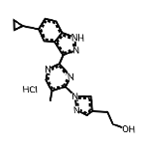 Cc1cnc(-c2n[nH]c3ccc(C4CC4)cc23)nc1-n1cc(CCO)cn1.Cl